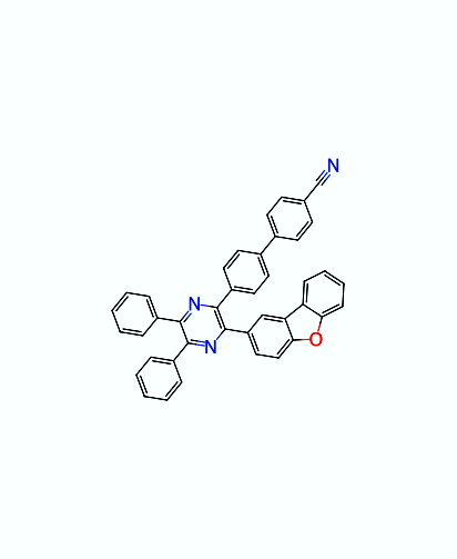 N#Cc1ccc(-c2ccc(-c3nc(-c4ccccc4)c(-c4ccccc4)nc3-c3ccc4oc5ccccc5c4c3)cc2)cc1